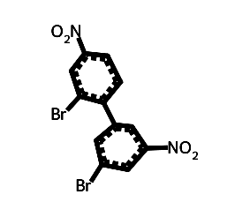 O=[N+]([O-])c1cc(Br)cc(-c2ccc([N+](=O)[O-])cc2Br)c1